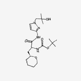 CC(C)(O)Cn1ccc(NC(=O)C(C[C@@H]2CCCCO2)NC(=O)OC(C)(C)C)n1